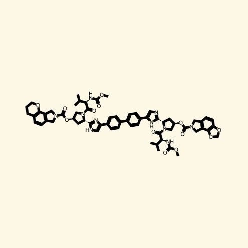 COC(=O)N[C@H](C(=O)N1C[C@H](OC(=O)N2Cc3ccc4c(c3C2)OCCC4)C[C@H]1c1nc(-c2ccc(-c3ccc(-c4cnc([C@@H]5C[C@@H](OC(=O)N6Cc7ccc8c(c7C6)OCO8)CN5C(=O)[C@@H](NC(=O)OC)C(C)C)[nH]4)cc3)cc2)c[nH]1)C(C)C